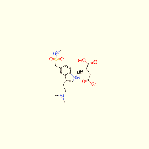 CNS(=O)(=O)Cc1ccc2[nH]cc(CCN(C)C)c2c1.O=C(O)CCC(=O)O.[LiH]